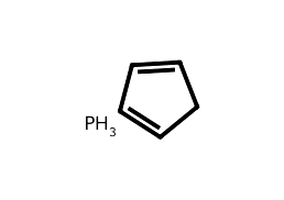 C1=CCC=C1.P